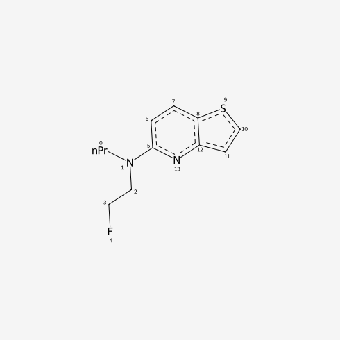 CCCN(CCF)c1ccc2sccc2n1